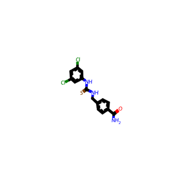 NC(=O)c1ccc(CNC(=S)Nc2cc(Cl)cc(Cl)c2)cc1